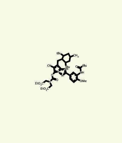 [C-]#[N+]c1c(CC2C(C(C)(C)C)CC(C)CC2C(C)(C)C)c2[nH]c(-c3ccc(OC)c(NC(=O)C(C)(C)C)c3)nn2c1OC(=O)N(CC(=O)OCC)CC(=O)OCC